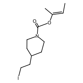 C/C=C(\C)OC(=O)N1CCC(CCI)CC1